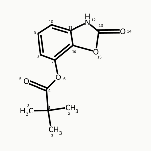 CC(C)(C)C(=O)Oc1cccc2[nH]c(=O)oc12